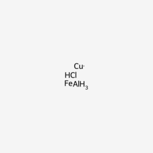 Cl.[AlH3].[Cu].[Fe]